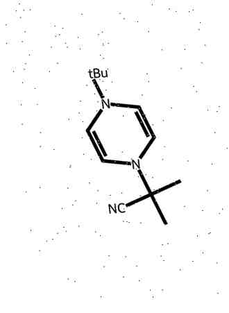 CC(C)(C)N1C=CN(C(C)(C)C#N)C=C1